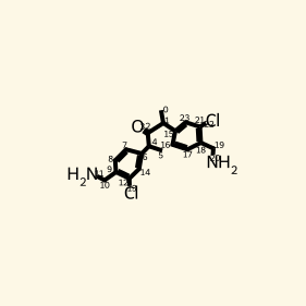 CC(C(=O)C(C)c1ccc(CN)c(Cl)c1)c1ccc(CN)c(Cl)c1